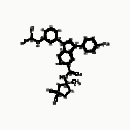 C[C@]1(NC(=O)c2cc3c(cn2)c(-c2cccc(OC(F)F)c2)cn3-c2ccc(F)cc2)CCS(=O)(=O)C1